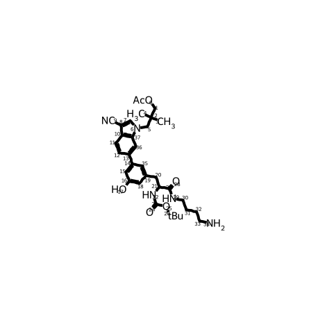 CC(=O)OCC(C)(C)Cn1cc(C#N)c2ccc(-c3cc(O)cc(CC(NC(=O)OC(C)(C)C)C(=O)NCCCCN)c3)cc21